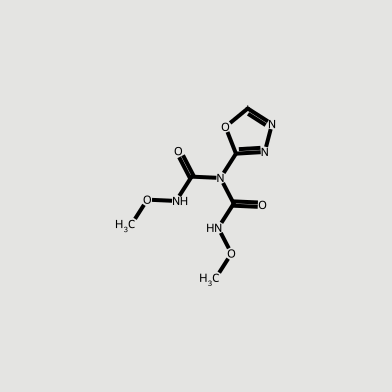 CONC(=O)N(C(=O)NOC)c1nn[c]o1